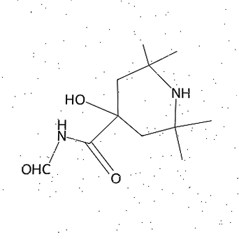 CC1(C)CC(O)(C(=O)NC=O)CC(C)(C)N1